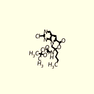 CCCCC1(NC(=O)OC(C)(C)C)Cn2c(cc3cnc(Cl)nc32)C(=O)O1